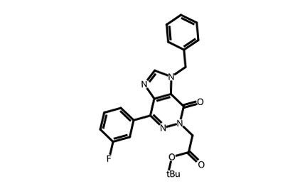 CC(C)(C)OC(=O)Cn1nc(-c2cccc(F)c2)c2ncn(Cc3ccccc3)c2c1=O